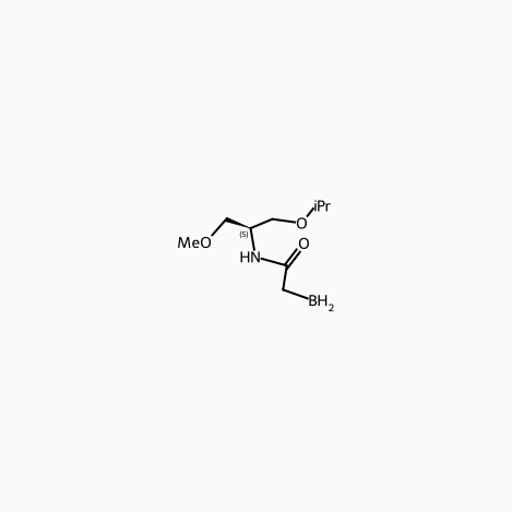 BCC(=O)N[C@@H](COC)COC(C)C